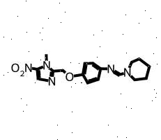 Cn1c([N+](=O)[O-])cnc1COc1ccc(/N=C/N2CCCCC2)cc1